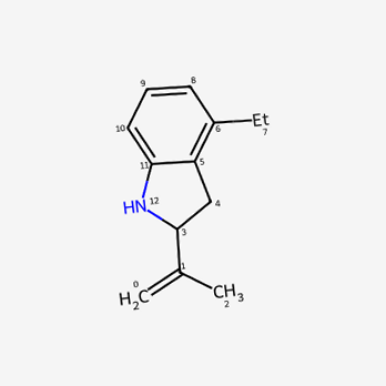 C=C(C)C1Cc2c(CC)cccc2N1